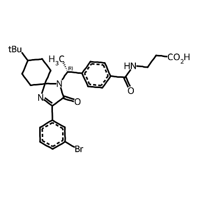 C[C@H](c1ccc(C(=O)NCCC(=O)O)cc1)N1C(=O)C(c2cccc(Br)c2)=NC12CCC(C(C)(C)C)CC2